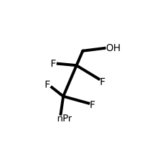 CCCC(F)(F)C(F)(F)CO